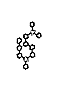 C1=CC(c2cccc(-c3nc(-c4ccccc4)nc(-c4cccc(-c5cccc(-c6cccc(-c7cccc(-c8nc(-c9ccccc9)nc(-c9ccccc9)n8)c7)c6)c5)c4)n3)c2)CC=C1c1ccccc1